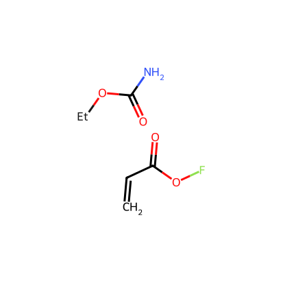 C=CC(=O)OF.CCOC(N)=O